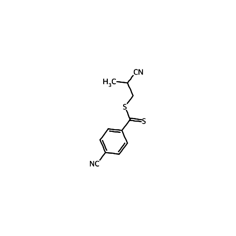 CC(C#N)CSC(=S)c1ccc(C#N)cc1